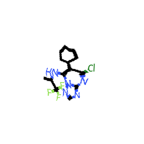 CC(Nc1c(C2CCCCC2)c(Cl)nc2ncnn12)C(F)(F)F